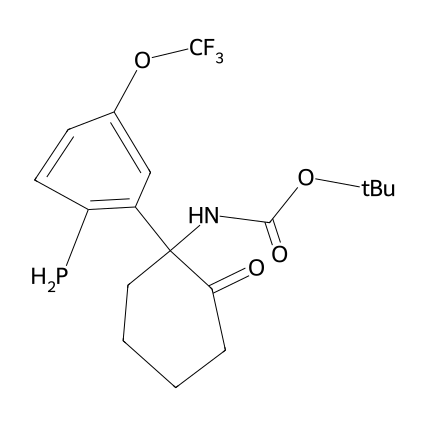 CC(C)(C)OC(=O)NC1(c2cc(OC(F)(F)F)ccc2P)CCCCC1=O